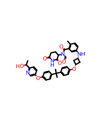 Cc1ccc(N[C@H]2C[C@@H](Oc3ccc(C(C)(C)c4ccc(Oc5ccc(C(C)O)nc5)cc4)cc3)C2)cc1C(=O)N(C=O)C1CCC(=O)NC1=O